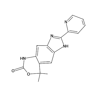 CC1(C)OC(=O)Nc2cc3nc(-c4ccccn4)[nH]c3cc21